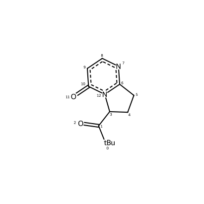 CC(C)(C)C(=O)C1CCc2nccc(=O)n21